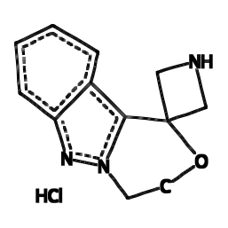 Cl.c1ccc2c3n(nc2c1)CCOC31CNC1